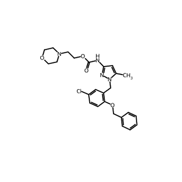 Cc1cc(NC(=O)OCCN2CCOCC2)nn1Cc1cc(Cl)ccc1OCc1ccccc1